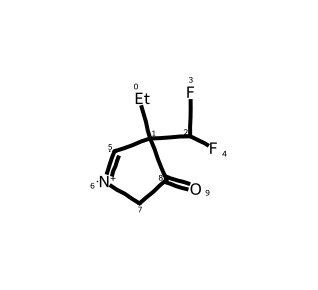 CCC1(C(F)F)[C]=[N+]CC1=O